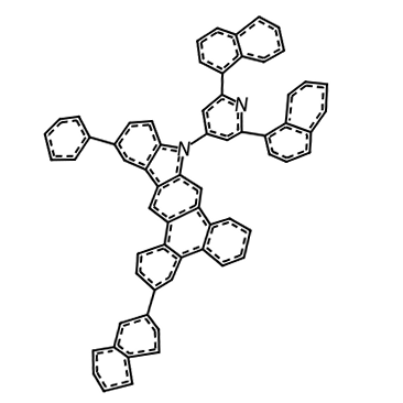 c1ccc(-c2ccc3c(c2)c2cc4c5ccc(-c6ccc7ccccc7c6)cc5c5ccccc5c4cc2n3-c2cc(-c3cccc4ccccc34)nc(-c3cccc4ccccc34)c2)cc1